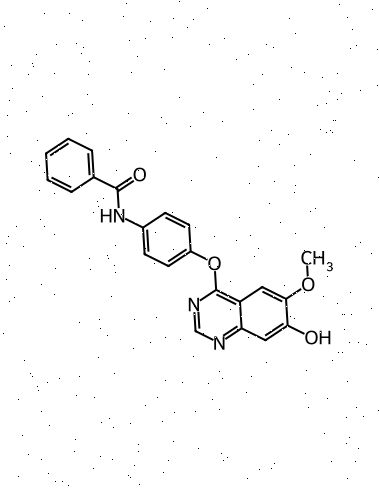 COc1cc2c(Oc3ccc(NC(=O)c4ccccc4)cc3)ncnc2cc1O